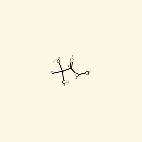 CC(O)(O)C(=O)OCl